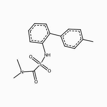 Cc1ccc(-c2ccccc2NS(=O)(=O)C(=O)N(C)C)cc1